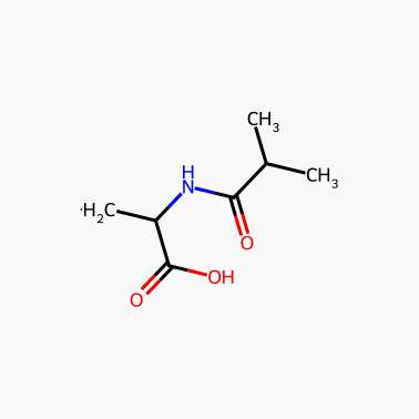 [CH2]C(NC(=O)C(C)C)C(=O)O